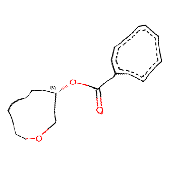 O=C(O[C@H]1CCCOC1)c1ccccc1